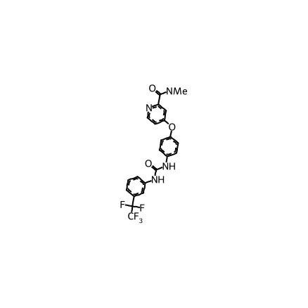 CNC(=O)c1cc(Oc2ccc(NC(=O)Nc3cccc(C(F)(F)C(F)(F)F)c3)cc2)ccn1